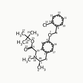 C[C@H](Cc1ccc(OCc2ccccc2Cl)cc1)N(C)CC(=O)OC(C)(C)C